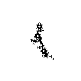 CS(=O)(=O)c1ccc(NCC#Cc2cc3cc(CNC4CCOCC4)ccc3n2CC(F)(F)F)cn1